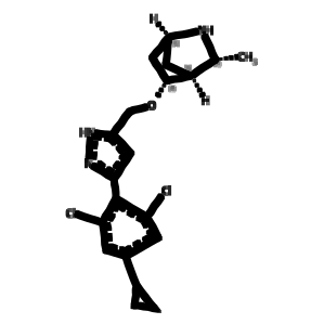 C[C@H]1N[C@H]2C[C@@H]1[C@H](OCc1cc(-c3c(Cl)cc(C4CC4)cc3Cl)n[nH]1)C2